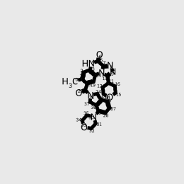 Cc1cc2[nH]c(=O)c3nnc(C4CCOCC4)n3c2cc1C(=O)N1Cc2cccc(N3CCOCC3)c2C1